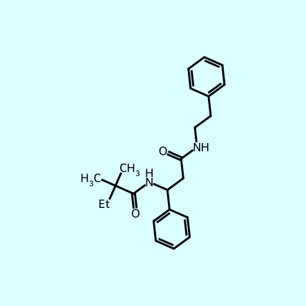 CCC(C)(C)C(=O)NC(CC(=O)NCCc1ccccc1)c1ccccc1